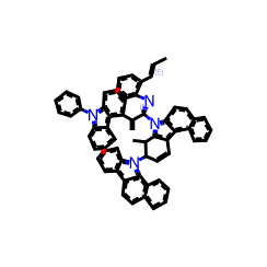 C=C(/C(=N\c1ccccc1/C=C/C)n1c2c(c3c4ccccc4ccc31)C=CC(n1c3ccccc3c3ccc4ccccc4c31)C2C)c1cccc2c1c1ccccc1n2-c1ccccc1